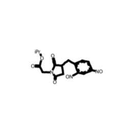 CC(C)OC(=O)CN1C(=O)CC(Cc2ccc(N=O)cc2N=O)C1=O